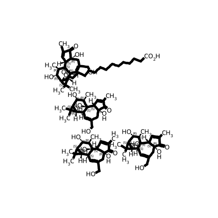 CC1=C[C@H]2[C@@]3(O)[C@H](C)[C@@H](O)[C@]4(O)[C@H]([C@@H]3C=C(CO)C[C@]2(O)C1=O)C4(C)C.CC1=C[C@H]2[C@@]3(O)[C@H](C)[C@@H](O)[C@]4(O)[C@H]([C@@H]3C=C(CO)C[C@]2(O)C1=O)C4(C)C.CC1=C[C@H]2[C@@]3(O)[C@H](C)[C@@H](O)[C@]4(O)[C@H]([C@@H]3C=C(CO)C[C@]2(O)C1=O)C4(C)C.CC1=C[C@H]2[C@@]3(O)[C@H](C)[C@@H](O)[C@]4(OCCCCCCCCCCCCCC(=O)O)[C@H]([C@@H]3C=C(CO)C[C@]2(O)C1=O)C4(C)C